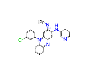 CC(C)/N=c1\cc2n(-c3cccc(Cl)c3)c3ccccc3nc-2cc1NC1=CN=CCC1